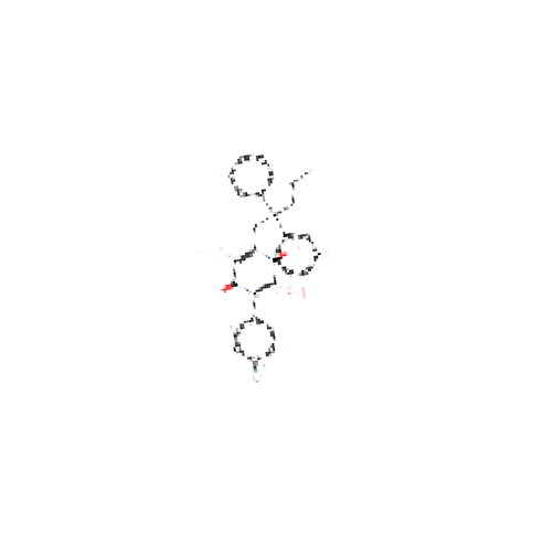 CCCC(CC1=C(O)C(=O)C(c2ccc(Cl)cc2)=C(O)C1=O)(c1ccccc1)c1ccccc1